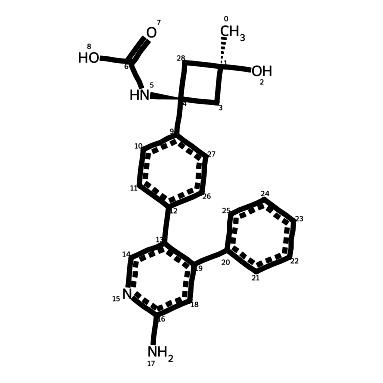 C[C@]1(O)C[C@](NC(=O)O)(c2ccc(-c3cnc(N)cc3-c3ccccc3)cc2)C1